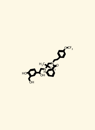 CC(C)(CN(CCc1ccc(OC(F)(F)F)cc1)C(=O)c1ccccc1)NCC(O)c1ccc(O)c(CO)c1